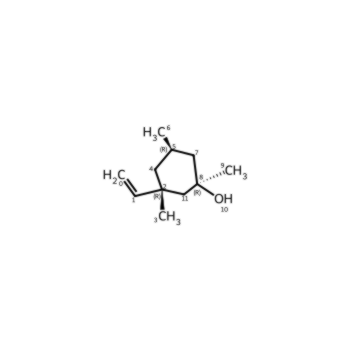 C=C[C@]1(C)C[C@@H](C)C[C@@](C)(O)C1